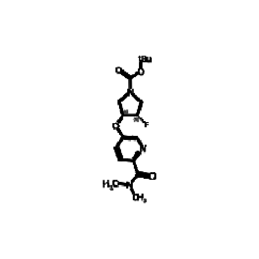 CN(C)C(=O)c1ccc(O[C@H]2CN(C(=O)OC(C)(C)C)C[C@@H]2F)cn1